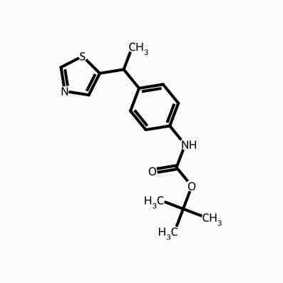 CC(c1ccc(NC(=O)OC(C)(C)C)cc1)c1cncs1